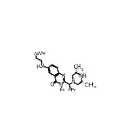 CCCC(c1nc2ccc(NCCNC)cc2c(=O)n1CC)N1C[C@@H](C)N[C@@H](C)C1